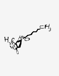 CCCCCCCC(=O)Nc1ccc(C(=O)O)c(OC)c1